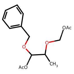 CC(=O)OCOC(C)C(OCc1ccccc1)OC(C)=O